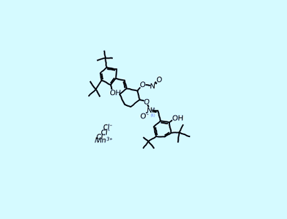 CC(C)(C)c1cc(C=C2CCCC(O/[N+]([O-])=C/c3cc(C(C)(C)C)cc(C(C)(C)C)c3O)C2ON=O)c(O)c(C(C)(C)C)c1.[Cl-].[Cl-].[Cl-].[Mn+3]